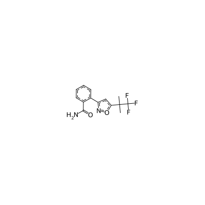 CC(C)(c1cc(-c2ccccc2C(N)=O)no1)C(F)(F)F